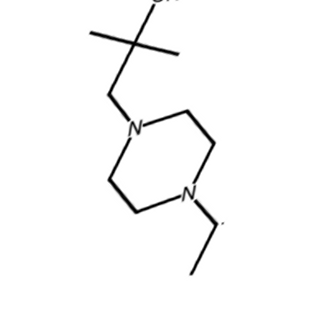 C[CH]N1CCN(CC(C)(C)O)CC1